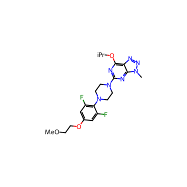 COCCOc1cc(F)c(N2CCN(c3nc(OC(C)C)c4nnn(C)c4n3)CC2)c(F)c1